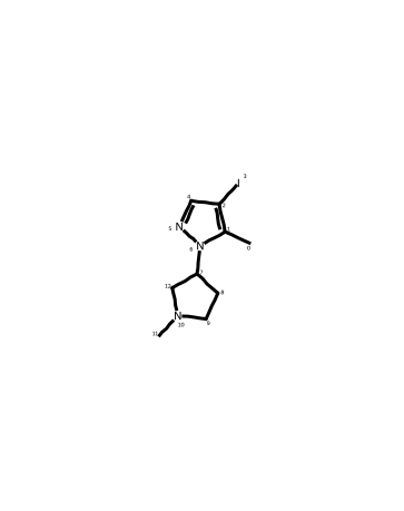 Cc1c(I)cnn1C1CCN(C)C1